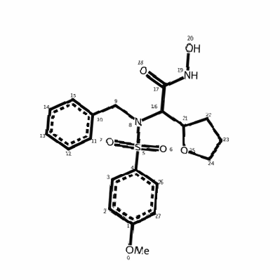 COc1ccc(S(=O)(=O)N(Cc2ccccc2)C(C(=O)NO)C2CCCO2)cc1